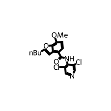 CCCCc1cc2c(C(=O)Nc3c(Cl)cncc3Cl)ccc(OC)c2o1